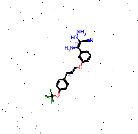 N#C/C(NN)=C(/N)c1cccc(OC/C=C/c2ccc(OC(F)(F)F)cc2)c1